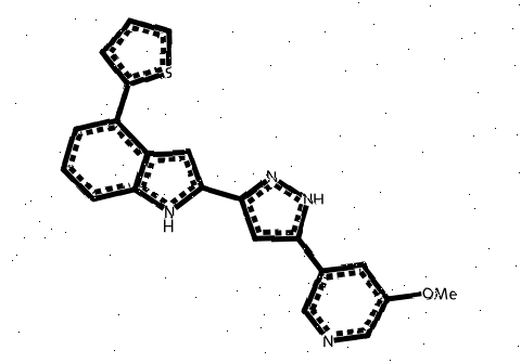 COc1cncc(-c2cc(-c3cc4c(-c5cccs5)cccc4[nH]3)n[nH]2)c1